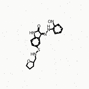 O=Nc1ccccc1N/N=C1\C(=O)Nc2ccc(SNCC3CCCO3)cc21